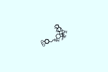 O=C(O)C1(c2ncc3ccsc3n2)CCC(NCCc2ccc3c(c2)OCO3)CC1C(F)(F)F